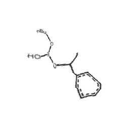 CCCCOB(O)OC(C)c1ccccc1